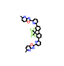 Cc1ccc2oc(-c3cccc(-c4ccc5c(c4)C(C(F)(F)F)(C(F)(F)F)c4cc(-c6cccc(-c7nc8nc(C)ccc8o7)n6)ccc4-5)n3)nc2n1